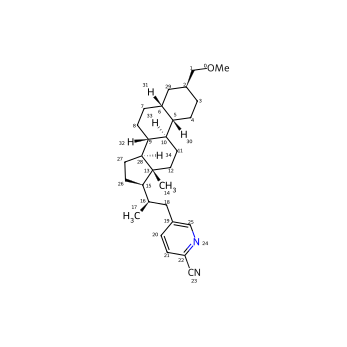 COC[C@H]1CC[C@H]2[C@H](CC[C@@H]3[C@@H]2CC[C@]2(C)[C@@H]([C@H](C)Cc4ccc(C#N)nc4)CC[C@@H]32)C1